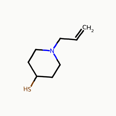 C=CCN1CCC(S)CC1